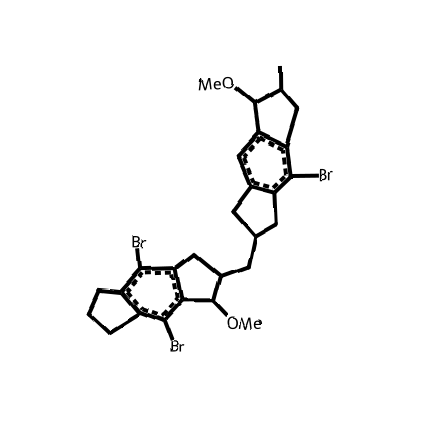 COC1c2cc3c(c(Br)c2CC1C)CC(CC1Cc2c(Br)c4c(c(Br)c2C1OC)CCC4)C3